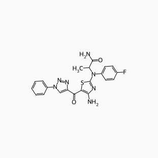 CC(C(N)=O)N(c1ccc(F)cc1)c1nc(N)c(C(=O)c2cn(-c3ccccc3)nn2)s1